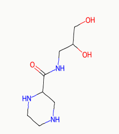 O=C(NCC(O)CO)C1CNCCN1